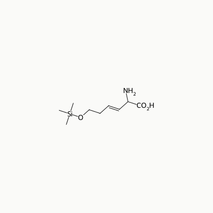 C[Si](C)(C)OCC/C=C/C(N)C(=O)O